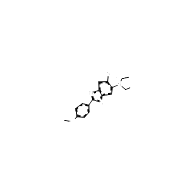 CCN(CC)c1cc2[nH]c(-c3ccc(OC)cc3)nc2cc1N